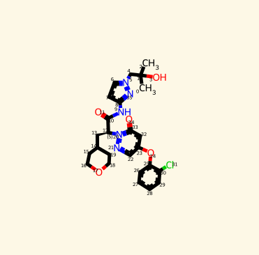 CC(C)(O)Cn1ccc(NC(=O)[C@H](CC2CCOCC2)n2ncc(Oc3ccccc3Cl)cc2=O)n1